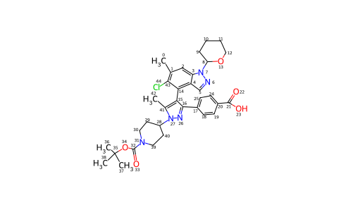 Cc1cc2c(cnn2C2CCCCO2)c(-c2c(-c3ccc(C(=O)O)cc3)nn(C3CCN(C(=O)OC(C)(C)C)CC3)c2C)c1Cl